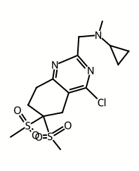 CN(Cc1nc(Cl)c2c(n1)CCC(S(C)(=O)=O)(S(C)(=O)=O)C2)C1CC1